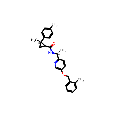 Cc1ccccc1COc1ccc([C@@H](C)NC(=O)C2C[C@]2(C)c2ccc(C(F)(F)F)cc2)nc1